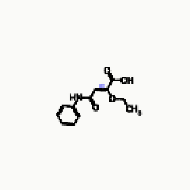 CCO/C(=C\C(=O)Nc1ccccc1)C(=O)O